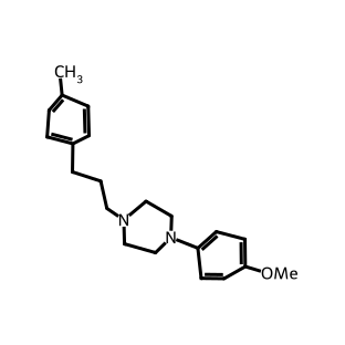 COc1ccc(N2CCN(CCCc3ccc(C)cc3)CC2)cc1